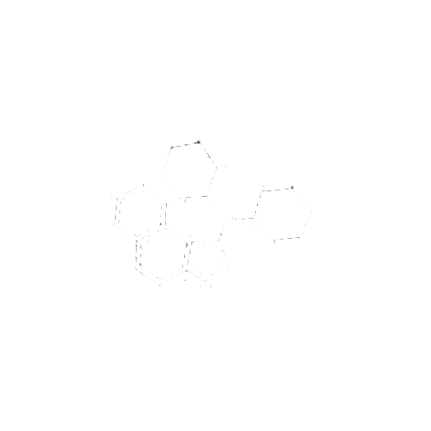 c1ccc2c(c1)ccc1scc(P(C3CCCCC3)C3CCCCC3)c12